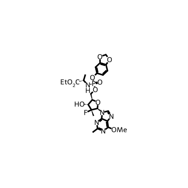 CCOC(=O)[C@H](C)N[P@](=O)(OC[C@H]1O[C@@H](n2cnc3c(OC)nc(C)nc32)[C@](C)(F)[C@@H]1O)Oc1ccc2c(c1)OCO2